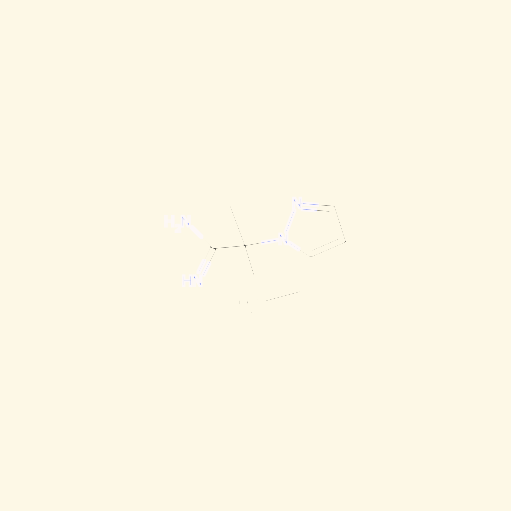 CC(=O)O.CC(C)(C(=N)N)n1cccn1